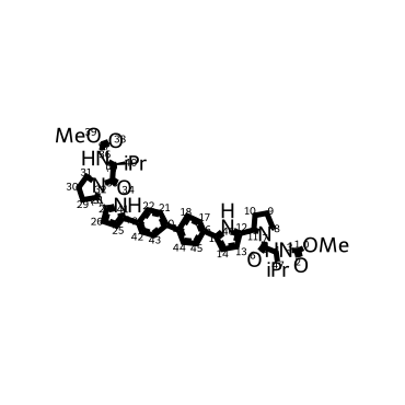 COC(=O)NC(C(=O)N1CCCC1c1ccc(-c2ccc(-c3ccc(-c4ccc([C@@H]5CCCN5C(=O)[C@@H](NC(=O)OC)C(C)C)[nH]4)cc3)cc2)[nH]1)C(C)C